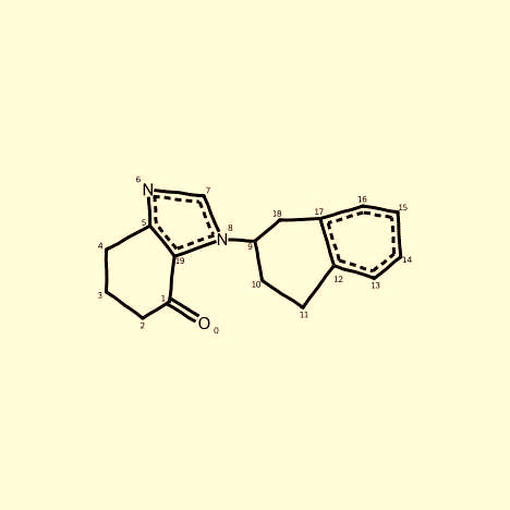 O=C1CCCc2ncn(C3CCc4ccccc4C3)c21